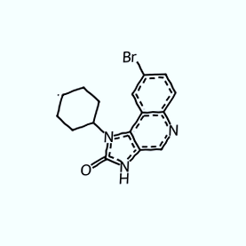 O=c1[nH]c2cnc3ccc(Br)cc3c2n1C1CC[CH]CC1